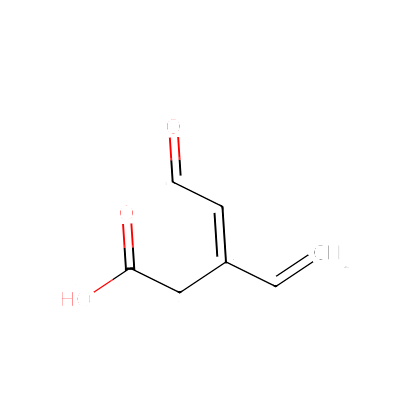 C=CC(=C[C]=O)CC(=O)O